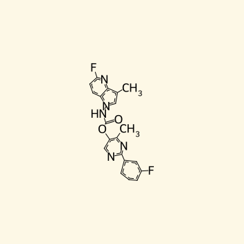 Cc1nc(-c2cccc(F)c2)ncc1OC(=O)Nn1cc(C)c2nc(F)ccc21